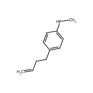 C=CCCc1ccc(PC)cc1